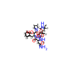 CC(C)(C)NC(=O)[C@@H]1CCCN1C(=O)C(O)[C@H](Cc1ccccc1)NC(=O)[C@H](CC(N)=O)NC(=O)OC(C)(C)C